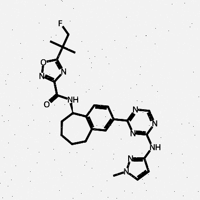 Cn1ccc(Nc2ncnc(-c3ccc4c(c3)CCCC[C@H]4NC(=O)c3noc(C(C)(C)CF)n3)n2)n1